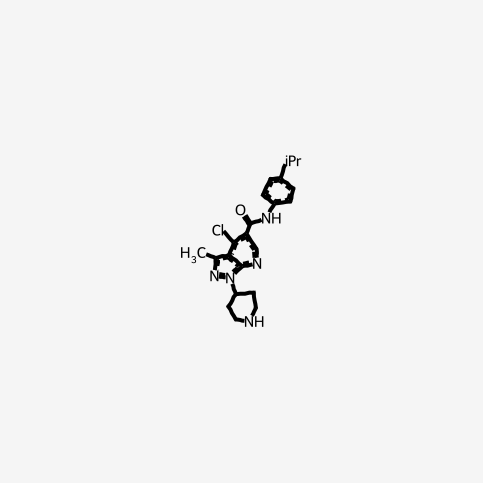 Cc1nn(C2CCNCC2)c2ncc(C(=O)Nc3ccc(C(C)C)cc3)c(Cl)c12